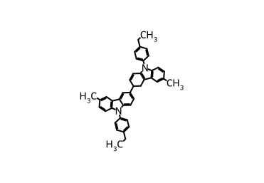 CCc1ccc(-n2c3c(c4cc(C)ccc42)CC(c2ccc4c(c2)c2cc(C)ccc2n4-c2ccc(CC)cc2)C=C3)cc1